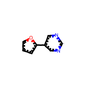 [c]1ncc(-c2ccco2)cn1